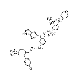 CC1(C)CCC(CNCCNc2ccc(C(=O)NS(=O)(=O)c3ccc(NCC4CCOCC4)c(S(=O)(=O)C(F)(F)F)c3)c(Oc3ccc4[nH]ccc4c3)c2)=C(c2ccc(Cl)cc2)C1